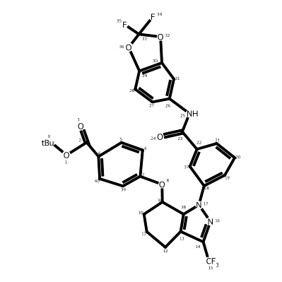 CC(C)(C)OC(=O)c1ccc(OC2CCCc3c(C(F)(F)F)nn(-c4cccc(C(=O)Nc5ccc6c(c5)OC(F)(F)O6)c4)c32)cc1